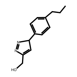 CCCc1ccc(C2C=C(CO)N=N2)cc1